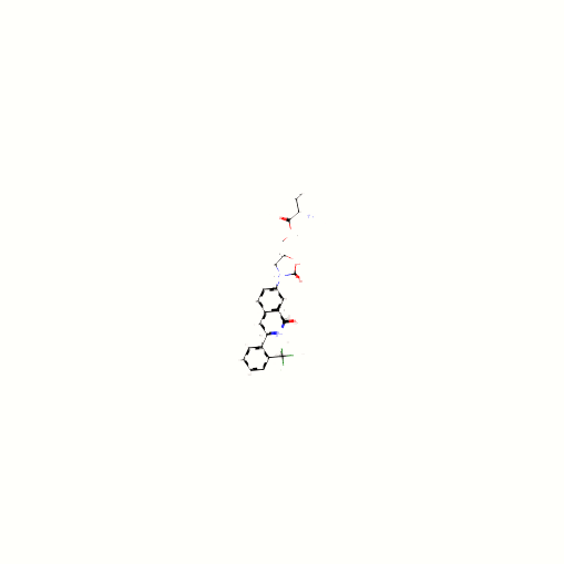 CC[C@H](N)C(=O)OC[C@H]1CN(c2ccc3cc(-c4ccccc4C(F)(F)F)[nH]c(=O)c3c2)C(=O)O1